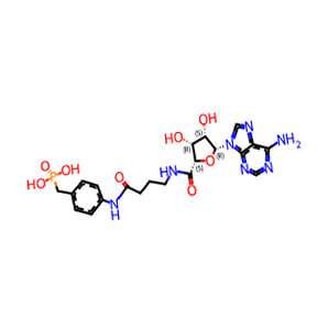 Nc1ncnc2c1ncn2[C@@H]1O[C@H](C(=O)NCCCC(=O)Nc2ccc(CP(=O)(O)O)cc2)[C@H](O)[C@@H]1O